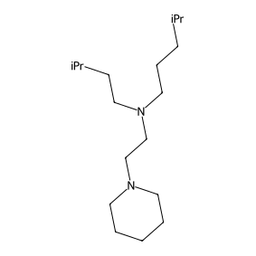 CC(C)CCCN(CCC(C)C)CCN1CCCCC1